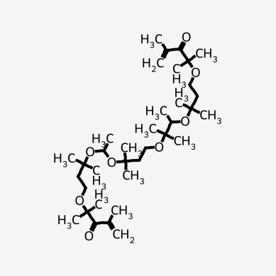 C=C(C)C(=O)C(C)(C)OCCC(C)(C)OC(C)OC(C)(C)CCOC(C)(C)C(C)OC(C)(C)CCOC(C)(C)C(=O)C(=C)C